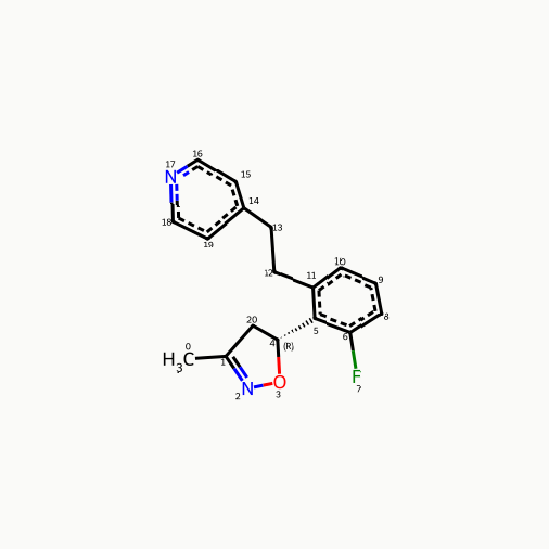 CC1=NO[C@@H](c2c(F)cccc2CCc2ccncc2)C1